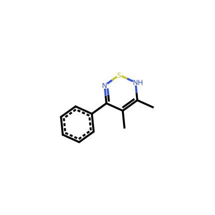 CC1=C(C)C(c2ccccc2)=NSN1